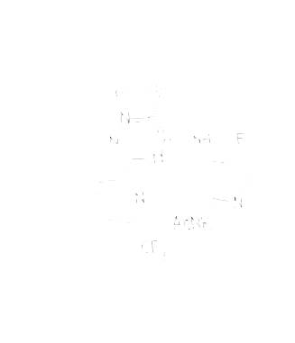 CC(=O)Nc1cc(Nc2nc(-c3cccc(C(F)(F)F)n3)nn3cccc23)c(F)cn1